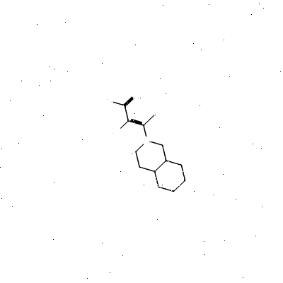 C/C(=C(/C#N)C(N)=S)N1CCC2CCCCC2C1